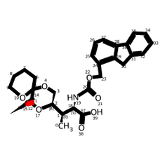 C[C@@H]([C@@H]1COC2(CCCCO2)C2(CCCCO2)O1)[C@H](NC(=O)OCc1cccc2c1Cc1ccccc1-2)C(=O)O